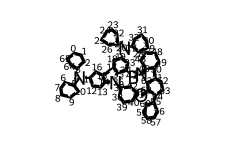 c1ccc(N(c2ccccc2)c2ccc3c(c2)c2cc(N(c4ccccc4)c4ccccc4)cc4c2n3-c2ccccc2B4n2c3ccccc3c3ccc4c5ccccc5oc4c32)cc1